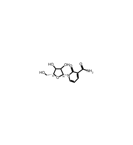 NC(=O)c1cccn([C@@H]2O[C@H](CO)C(O)C2O)c1=O